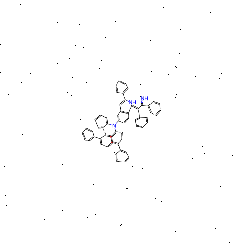 N=C(/C(=C1\NC(c2ccccc2)=Cc2cc(N(c3ccc(-c4ccccc4)cc3)c3ccccc3-c3ccccc3-c3ccccc3)ccc21)c1ccccc1)c1ccccc1